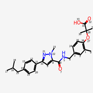 Cc1cc(CNC(=O)c2cc(-c3ccc(CC(C)C)cc3)nn2C)ccc1OC(C)(C)C(=O)O